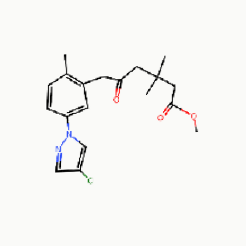 COC(=O)CC(C)(C)CC(=O)Cc1cc(-n2cc(Cl)cn2)ccc1C